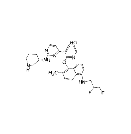 Cc1ccc2c(NCC(F)CF)cccc2c1Oc1ncccc1-c1ccnc(N[C@H]2CCCNC2)n1.Cl